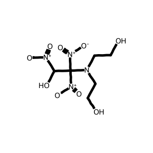 O=[N+]([O-])C(O)C(N(CCO)CCO)([N+](=O)[O-])[N+](=O)[O-]